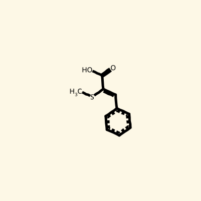 CS/C(=C\c1ccccc1)C(=O)O